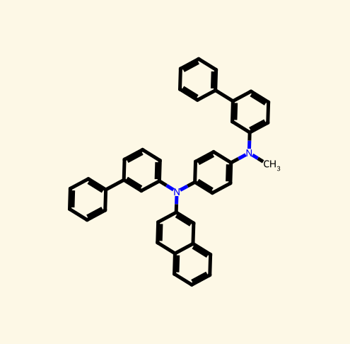 CN(c1ccc(N(c2cccc(-c3ccccc3)c2)c2ccc3ccccc3c2)cc1)c1cccc(-c2ccccc2)c1